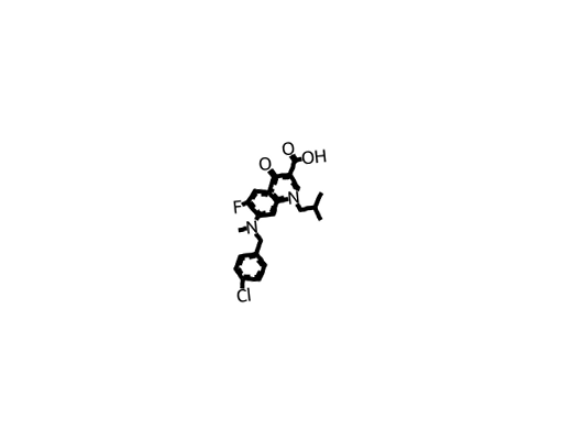 CC(C)Cn1cc(C(=O)O)c(=O)c2cc(F)c(N(C)Cc3ccc(Cl)cc3)cc21